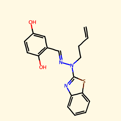 C=CCCN(/N=C/c1cc(O)ccc1O)c1nc2ccccc2s1